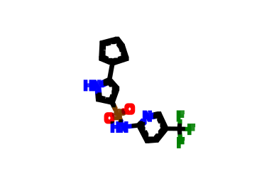 O=S(=O)(Nc1ccc(C(F)(F)F)cn1)c1c[nH]c(-c2ccccc2)c1